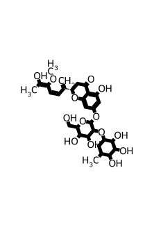 C=C(/C=C\C(OC)=C(/C)O)[C@@H]1CC(=O)c2c(O)cc(OC3OC(CO)C(O)C(O)C3OC3CC(C)C(O)C(O)C3O)cc2O1